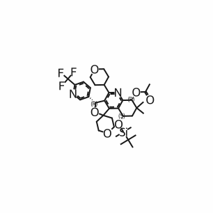 CC(=O)O[C@H]1c2nc(C3CCOCC3)c3c(c2[C@@H](O[Si](C)(C)C(C)(C)C)CC1(C)C)C1(CCOCC1)O[C@@H]3c1ccc(C(F)(F)F)nc1